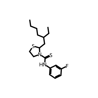 CCCCC(CC)CC1SCCN1C(=S)Nc1cccc(F)c1